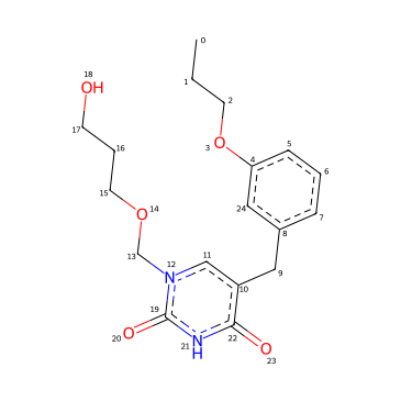 CCCOc1cccc(Cc2cn(COCCCO)c(=O)[nH]c2=O)c1